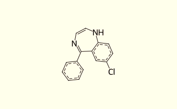 Clc1ccc2c(c1)C(c1ccccc1)=NC=CN2